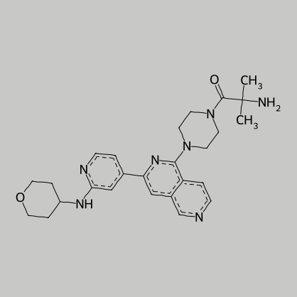 CC(C)(N)C(=O)N1CCN(c2nc(-c3ccnc(NC4CCOCC4)c3)cc3cnccc23)CC1